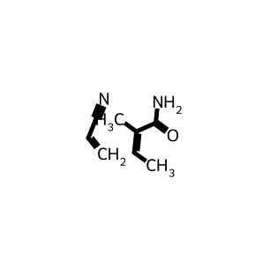 C=CC#N.CC=C(C)C(N)=O